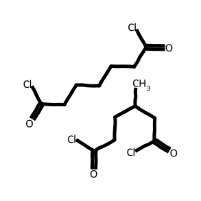 CC(CCC(=O)Cl)CC(=O)Cl.O=C(Cl)CCCCCC(=O)Cl